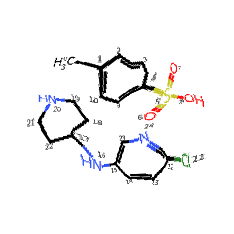 Cc1ccc(S(=O)(=O)O)cc1.Clc1ccc(NC2CCNCC2)cn1